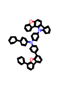 c1ccc(-c2ccc(N(c3ccc(-c4cccc5c4oc4c(-c6ccccc6)cccc45)cc3)c3ccc(-n4c5ccccc5c5ccc6oc7ccccc7c6c54)cc3)cc2)cc1